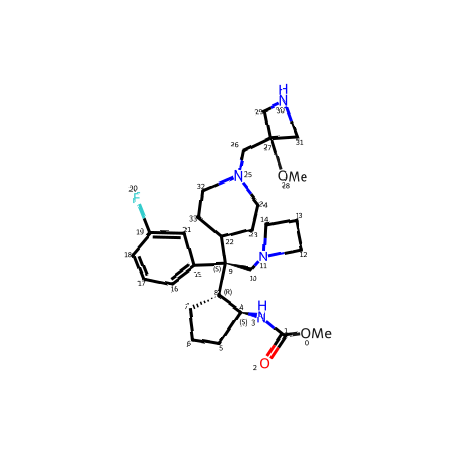 COC(=O)N[C@H]1CCC[C@@H]1[C@](CN1CCC1)(c1cccc(F)c1)C1CCN(CC2(OC)CNC2)CC1